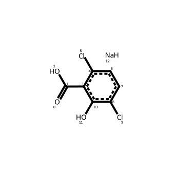 O=C(O)c1c(Cl)ccc(Cl)c1O.[NaH]